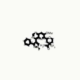 COc1cc2ncnc(-c3cn(C)nc3-c3ccccc3)c2nc1C1CC(C(N)=O)(C(F)(F)F)CCO1